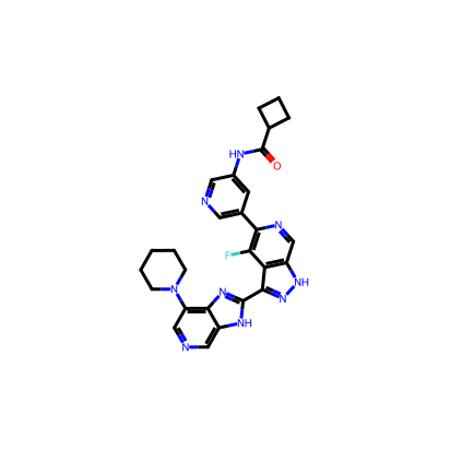 O=C(Nc1cncc(-c2ncc3[nH]nc(-c4nc5c(N6CCCCC6)cncc5[nH]4)c3c2F)c1)C1CCC1